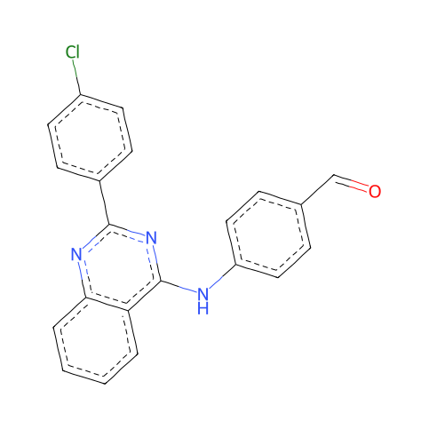 O=Cc1ccc(Nc2nc(-c3ccc(Cl)cc3)nc3ccccc23)cc1